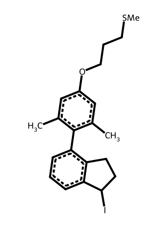 CSCCCOc1cc(C)c(-c2cccc3c2CCC3I)c(C)c1